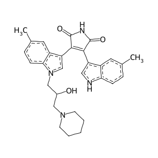 Cc1ccc2[nH]cc(C3=C(c4cn(CC(O)CN5CCCCC5)c5ccc(C)cc45)C(=O)NC3=O)c2c1